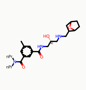 CCCN(CCC)C(=O)c1cc(C)cc(C(=O)NC[C@H](O)CNCC2CC3CCC2O3)c1